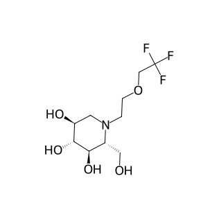 OC[C@@H]1[C@@H](O)[C@H](O)[C@@H](O)CN1CCOCC(F)(F)F